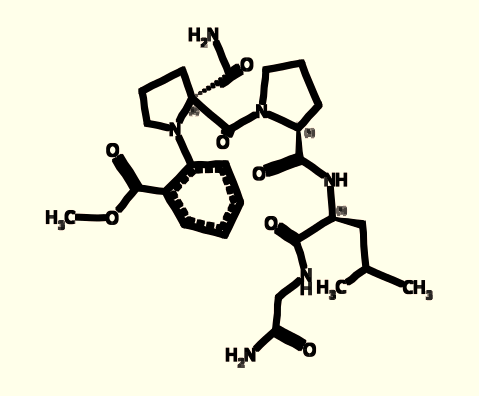 COC(=O)c1ccccc1N1CCC[C@@]1(C(N)=O)C(=O)N1CCC[C@H]1C(=O)N[C@@H](CC(C)C)C(=O)NCC(N)=O